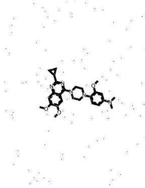 COc1cc2nc(C3CC3)nc(N3CCN(c4ccc(N(C)C)cc4OC)CC3)c2cc1OC